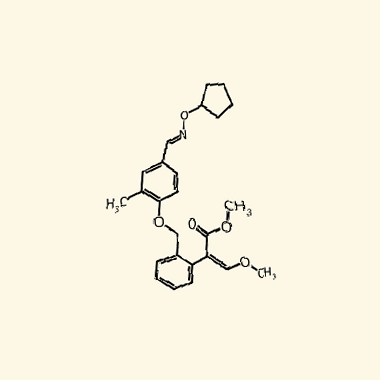 COC=C(C(=O)OC)c1ccccc1COc1ccc(C=NOC2CCCC2)cc1C